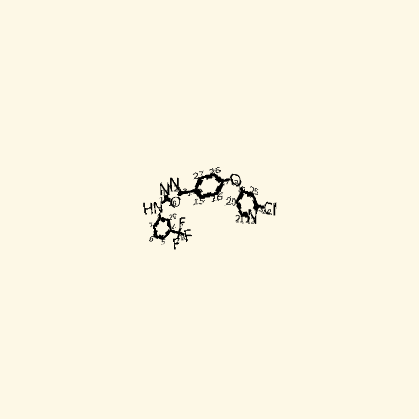 FC(F)(F)c1cccc(Nc2nnc(-c3ccc(Oc4ccnc(Cl)c4)cc3)o2)c1